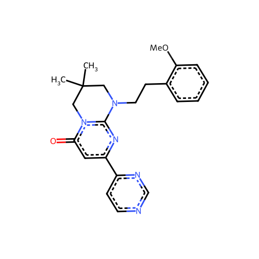 COc1ccccc1CCN1CC(C)(C)Cn2c1nc(-c1ccncn1)cc2=O